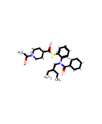 CCC(CC)CN(C(=O)C1CCCCC1)c1ccccc1SC(=O)C1CCN(C(C)=O)CC1